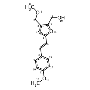 COCc1nc(/C=C/c2ccc(OC)cc2)oc1CO